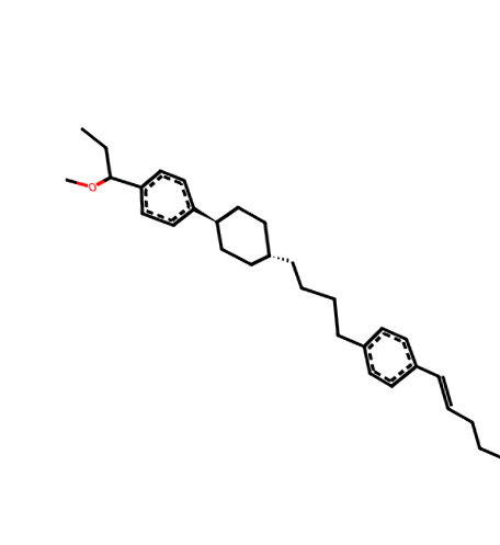 CCC/C=C/c1ccc(CCCC[C@H]2CC[C@H](c3ccc(C(CC)OC)cc3)CC2)cc1